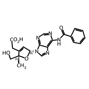 C[C@]1(CO)O[C@@H](n2cnc3c(NC(=O)c4ccccc4)ncnc32)C=C1CC(=O)O